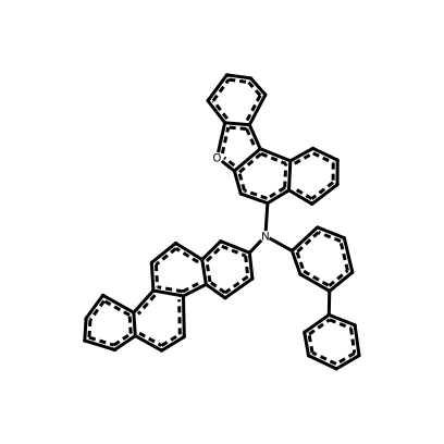 c1ccc(-c2cccc(N(c3ccc4c(ccc5c6ccccc6ccc45)c3)c3cc4oc5ccccc5c4c4ccccc34)c2)cc1